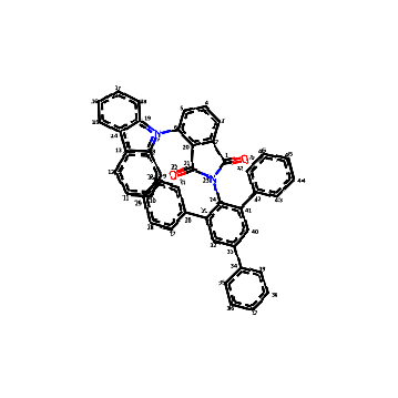 O=C1c2cccc(-n3c4ccccc4c4ccccc43)c2C(=O)N1c1c(-c2ccccc2)cc(-c2ccccc2)cc1-c1ccccc1